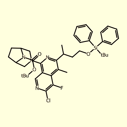 Cc1c(C(C)CCO[Si](c2ccccc2)(c2ccccc2)C(C)(C)C)nc(N2CC3CCC(C2)N3C(=O)OC(C)(C)C)c2cnc(Cl)c(F)c12